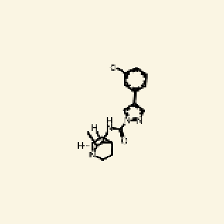 C[C@H]1[C@H](NC(=O)n2cc(-c3cccc(Cl)c3)cn2)C2CCN1CC2